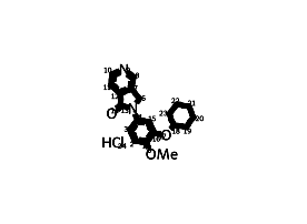 COc1ccc(N2Cc3cnccc3C2=O)cc1OC1CCCCC1.Cl